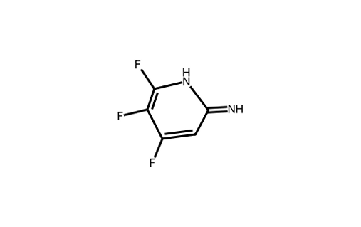 N=c1cc(F)c(F)c(F)[nH]1